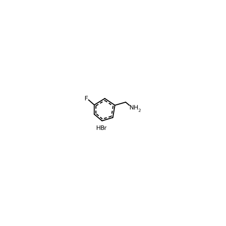 Br.NCc1cccc(F)c1